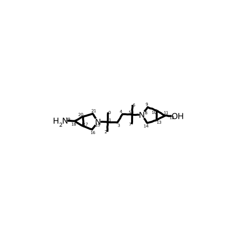 CC(C)(CCC(C)(C)N1CC2C(O)C2C1)N1CC2C(N)C2C1